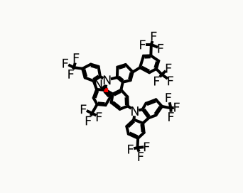 N#Cc1ccc(-n2c3ccc(C(F)(F)F)cc3c3cc(C(F)(F)F)ccc32)cc1-c1cc(-c2cc(C(F)(F)F)cc(C(F)(F)F)c2)ccc1-n1c2ccc(C(F)(F)F)cc2c2cc(C(F)(F)F)ccc21